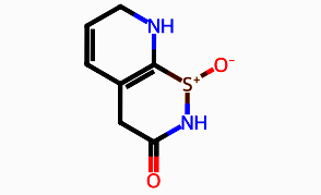 O=C1CC2=C(NCC=C2)[S+]([O-])N1